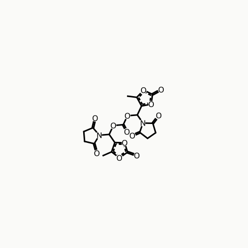 Cc1oc(=O)oc1C(OC(=O)OC(c1oc(=O)oc1C)N1C(=O)CCC1=O)N1C(=O)CCC1=O